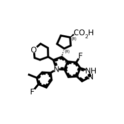 Cc1cc(-n2c(C3CCOCC3)c([C@@H]3CC[C@@H](C(=O)O)C3)c3c(F)c4[nH]ncc4cc32)ccc1F